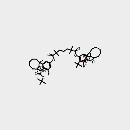 CC(C)(C)OC(=O)N[C@H]1[C@H]2CCCCC[C@]1(C)c1cc(OC(=O)C(C)(C)CCCC(C)(C)C(=O)Oc3cc(F)c4c(c3)[C@@]3(C)CCCCC[C@@H](C4)[C@@H]3NC(=O)OC(C)(C)C)cc(F)c1C2